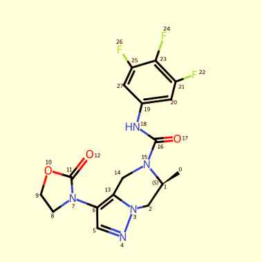 C[C@H]1Cn2ncc(N3CCOC3=O)c2CN1C(=O)Nc1cc(F)c(F)c(F)c1